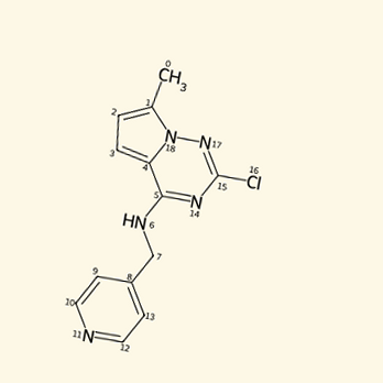 Cc1ccc2c(NCc3ccncc3)nc(Cl)nn12